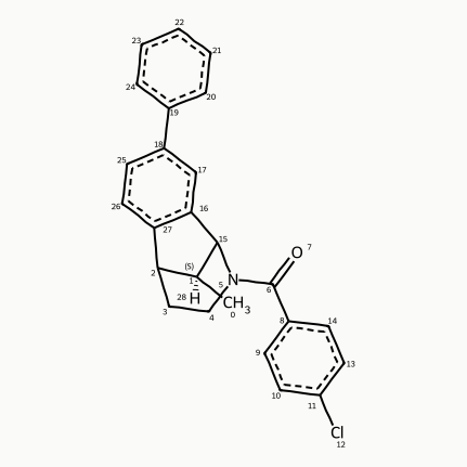 C[C@H]1C2CCN(C(=O)c3ccc(Cl)cc3)C1c1cc(-c3ccccc3)ccc12